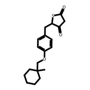 CC1(COc2ccc(CC3SC(=O)CC3=O)cc2)CCCCC1